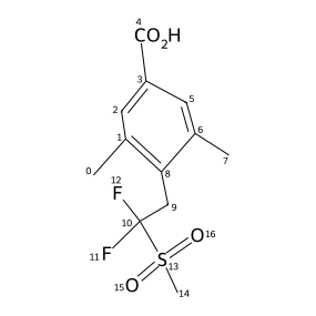 Cc1cc(C(=O)O)cc(C)c1CC(F)(F)S(C)(=O)=O